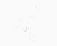 O=C(NCCO[C@@H]1O[C@H](CO)[C@@H](O)[C@H](O)[C@H]1NC(=O)OCc1ccccc1)OCc1ccccc1